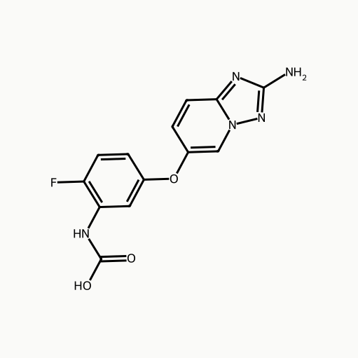 Nc1nc2ccc(Oc3ccc(F)c(NC(=O)O)c3)cn2n1